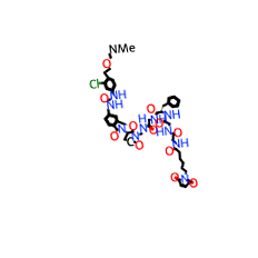 CNCCOCCc1ccc(NC(=O)NCc2ccc3c(c2)CN(C2CCC(=O)N(CNC(=O)CNC(=O)[C@H](Cc4ccccc4)NC(=O)CNC(=O)CNC(=O)CCCCCN4C(=O)C=CC4=O)C2=O)C3=O)cc1Cl